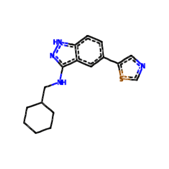 c1ncc(-c2ccc3[nH]nc(NCC4CCCCC4)c3c2)s1